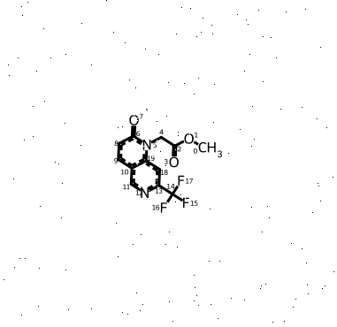 COC(=O)Cn1c(=O)ccc2cnc(C(F)(F)F)cc21